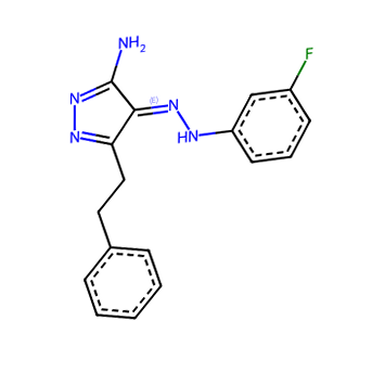 NC1=NN=C(CCc2ccccc2)/C1=N\Nc1cccc(F)c1